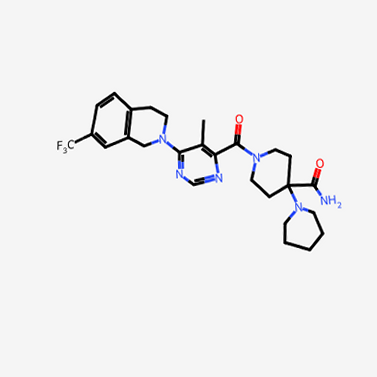 Cc1c(C(=O)N2CCC(C(N)=O)(N3CCCCC3)CC2)ncnc1N1CCc2ccc(C(F)(F)F)cc2C1